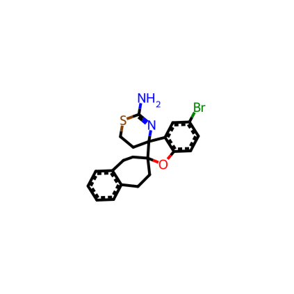 NC1=NC2(CCS1)c1cc(Br)ccc1OC21CCc2ccccc2CC1